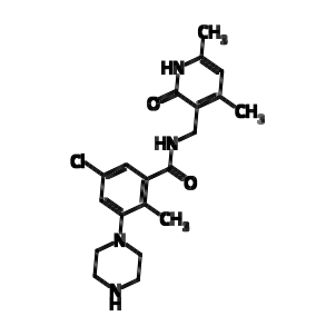 Cc1cc(C)c(CNC(=O)c2cc(Cl)cc(N3CCNCC3)c2C)c(=O)[nH]1